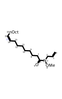 C=CCN(OC)C(=O)CCCCCCC/C=C\CCCCCCCC